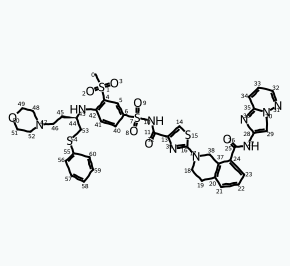 CS(=O)(=O)c1cc(S(=O)(=O)NC(=O)c2csc(N3CCc4cccc(C(=O)Nc5cn6ncccc6n5)c4C3)n2)ccc1N[C@H](CCN1CCOCC1)CSc1ccccc1